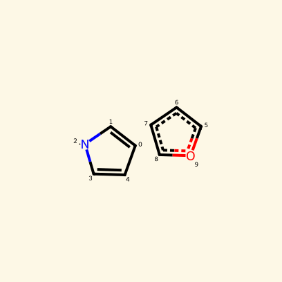 C1=C[N]C=C1.[c]1ccco1